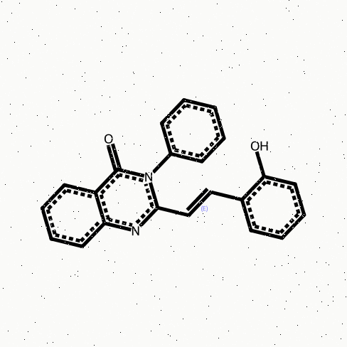 O=c1c2ccccc2nc(/C=C/c2ccccc2O)n1-c1ccccc1